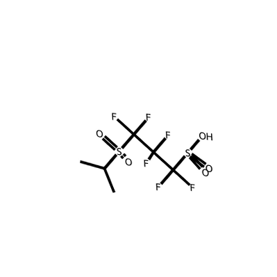 CC(C)S(=O)(=O)C(F)(F)C(F)(F)C(F)(F)S(=O)(=O)O